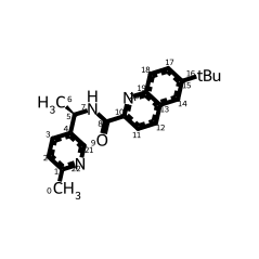 Cc1ccc([C@@H](C)NC(=O)c2ccc3cc(C(C)(C)C)ccc3n2)cn1